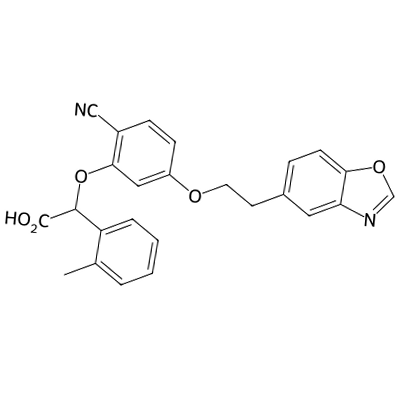 Cc1ccccc1C(Oc1cc(OCCc2ccc3ocnc3c2)ccc1C#N)C(=O)O